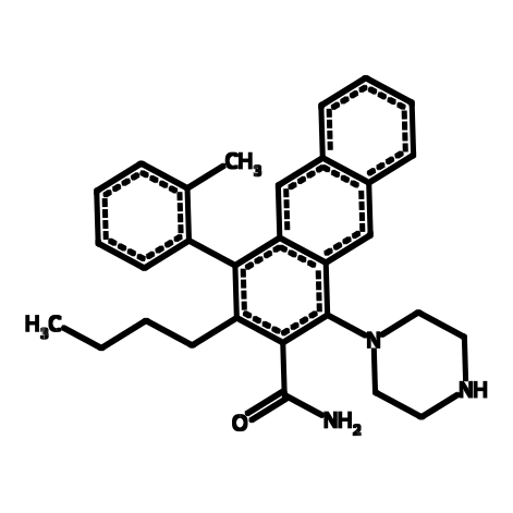 CCCCc1c(C(N)=O)c(N2CCNCC2)c2cc3ccccc3cc2c1-c1ccccc1C